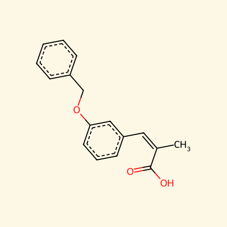 CC(=Cc1cccc(OCc2ccccc2)c1)C(=O)O